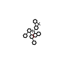 CC1(C)c2ccccc2-c2cc(N(c3cccc(-c4ccccc4)c3-c3ccc(-c4ccccc4)cc3)c3cccc4ccccc34)ccc21